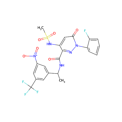 CC(NC(=O)c1nn(-c2ccccc2F)c(=O)cc1NS(C)(=O)=O)c1cc([N+](=O)[O-])cc(C(F)(F)F)c1